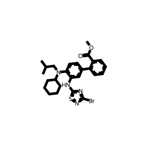 COC(=O)c1ccccc1-c1ccc(N(CC(C)C)C2CCCCC2)c(Nc2nc(Br)ns2)c1